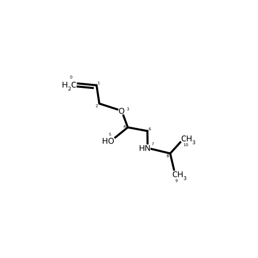 C=CCOC(O)CNC(C)C